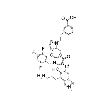 Cn1cc2c(CCCN)c(Nc3nc(=O)n(Cc4ncnn4CCc4cccc(C(=O)O)c4)c(=O)n3Cc3cc(F)c(F)cc3F)c(Cl)cc2n1